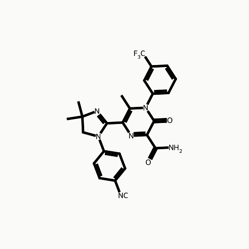 [C-]#[N+]c1ccc(N2CC(C)(C)N=C2c2nc(C(N)=O)c(=O)n(-c3cccc(C(F)(F)F)c3)c2C)cc1